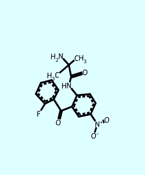 CC(C)(N)C(=O)Nc1ccc([N+](=O)[O-])cc1C(=O)c1ccccc1F